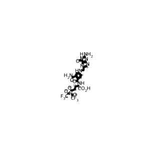 NC(=O)c1cc(NCc2cnc3nc(N)[nH]c(=O)c3n2)ccc1C(=O)NC(CCC(=O)N(C(=O)C(F)(F)F)C(=O)C(F)(F)F)C(=O)O